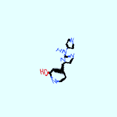 Oc1cc(-c2ccnc(Nc3ccncc3)n2)ccn1